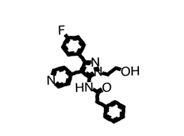 O=C(Cc1ccccc1)Nc1c(-c2ccncc2)c(-c2ccc(F)cc2)nn1CCO